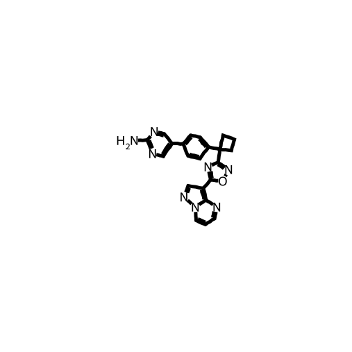 Nc1ncc(-c2ccc(C3(c4noc(-c5cnn6cccnc56)n4)CCC3)cc2)cn1